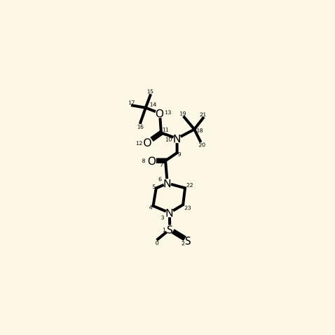 CS(=S)N1CCN(C(=O)CN(C(=O)OC(C)(C)C)C(C)(C)C)CC1